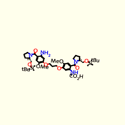 COc1cc(C(=O)N2CCC[C@H]2CO[Si](C)(C)C(C)(C)C)c(N)cc1OCCCOc1cc(NC(=O)O)c(C(=O)N2CCC[C@H]2CO[Si](C)(C)C(C)(C)C)cc1OC